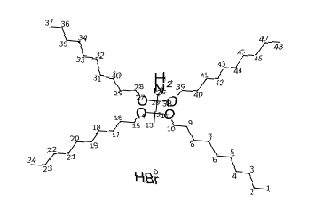 Br.CCCCCCCCCCOC(C)(OCCCCCCCCCC)C(N)(OCCCCCCCCCC)OCCCCCCCCCC